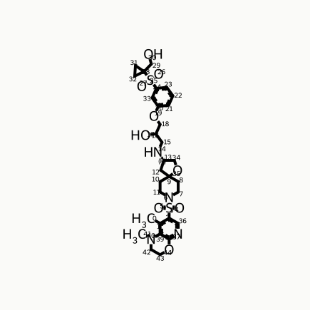 Cc1c(S(=O)(=O)N2CCC3(CC2)C[C@@H](NCC(O)COc2cccc(S(=O)(=O)C4(CO)CC4)c2)CO3)cnc2c1N(C)CCO2